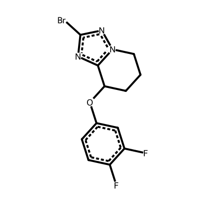 Fc1ccc(OC2CCCn3nc(Br)nc32)cc1F